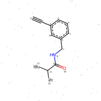 C#Cc1cccc(CNC(=O)C(C(C)C)C(C)(C)C)c1